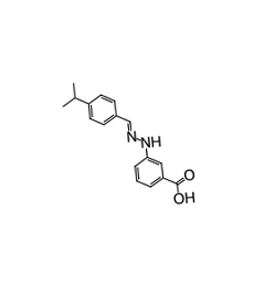 CC(C)c1ccc(C=NNc2cccc(C(=O)O)c2)cc1